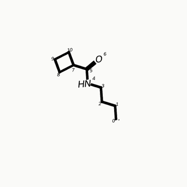 [CH2]CCCNC(=O)C1CCC1